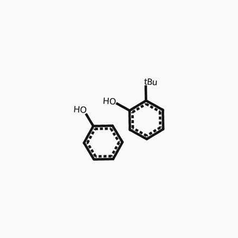 CC(C)(C)c1ccccc1O.Oc1ccccc1